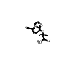 CC(C)(Sc1ccc(C#N)n2ccnc12)C(=O)O